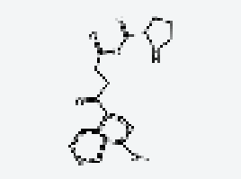 COc1ccc(C(=O)CCC(=O)OC(=O)[C@@H]2CCCN2)c2ccccc12